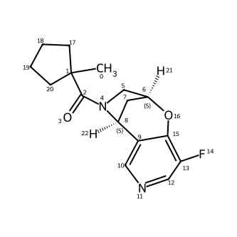 CC1(C(=O)N2C[C@@H]3C[C@H]2c2cncc(F)c2O3)CCCC1